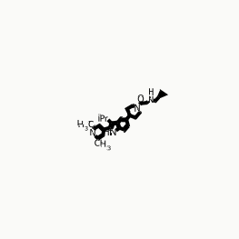 Cc1cc(-c2[nH]c3ccc(C4CCN(C(=O)CNCC5CC5)CC4)cc3c2C(C)C)cc(C)n1